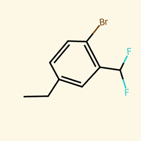 CCc1ccc(Br)c(C(F)F)c1